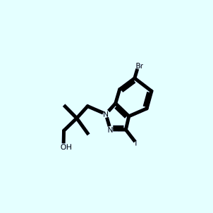 CC(C)(CO)Cn1nc(I)c2ccc(Br)cc21